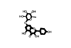 C[C@H]1OC(Oc2cc(O)c3c(=O)c(O)c(-c4ccc(O)cc4)oc3c2)[C@@H](O)[C@@H](O)[C@@H]1O